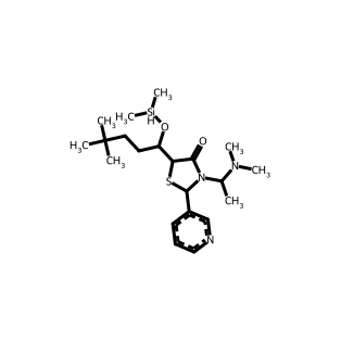 CC(N(C)C)N1C(=O)C(C(CCC(C)(C)C)O[SiH](C)C)SC1c1cccnc1